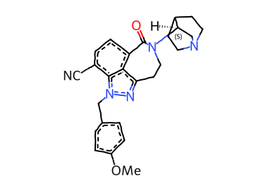 COc1ccc(Cn2nc3c4c(ccc(C#N)c42)C(=O)N([C@@H]2CN4CCC2CC4)CC3)cc1